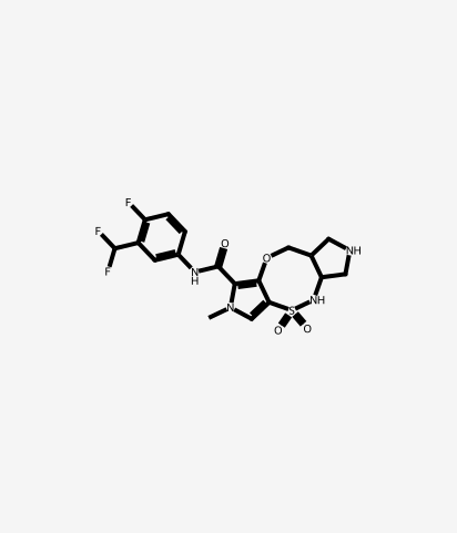 Cn1cc2c(c1C(=O)Nc1ccc(F)c(C(F)F)c1)OCC1CNCC1NS2(=O)=O